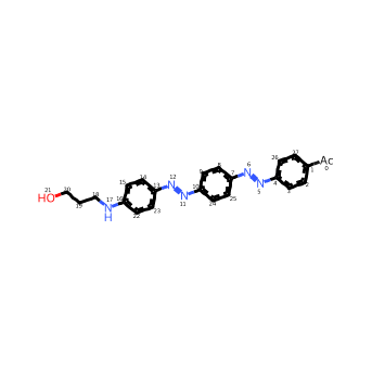 CC(=O)c1ccc(N=Nc2ccc(N=Nc3ccc(NCCCO)cc3)cc2)cc1